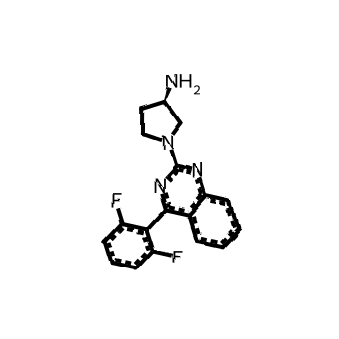 N[C@@H]1CCN(c2nc(-c3c(F)cccc3F)c3ccccc3n2)C1